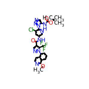 COc1nccc2c(-n3ncc(C(=O)Nc4cnc(-n5nncc5NC(=O)OC(C)(C)C)c(Cl)c4)c3C(F)(F)F)cccc12